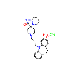 Cl.NC(=O)C1(N2CCCCC2)CCN(CCCN2c3ccccc3CCc3ccccc32)CC1.O